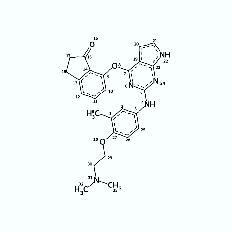 Cc1cc(Nc2nc(Oc3cccc4c3C(=O)CC4)c3cc[nH]c3n2)ccc1OCCN(C)C